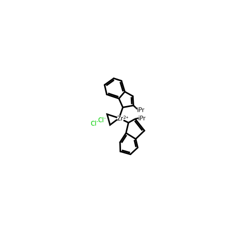 CC(C)C1=Cc2ccccc2[CH]1[Zr+2]1([CH]2C(C(C)C)=Cc3ccccc32)[CH2][CH2]1.[Cl-].[Cl-]